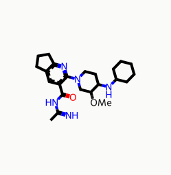 COC1CN(c2nc3c(cc2C(=O)NC(C)=N)CCC3)CCC1NC1CCCCC1